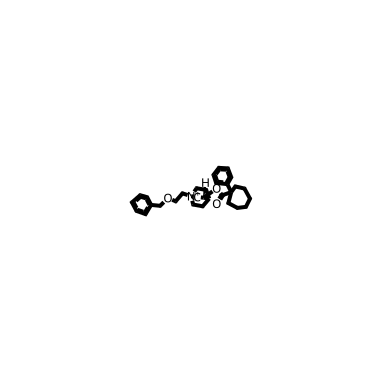 O=C(O[C@H]1C[N+]2(CCOCc3ccccc3)CCC1CC2)C1(c2ccccc2)CCCCCC1